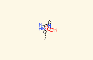 CCCCc1ccc(NC(=O)C(C#N)=Cc2cn(CC(=O)O)c3ccccc23)cc1